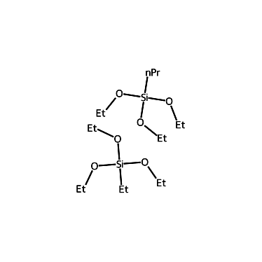 CCC[Si](OCC)(OCC)OCC.CCO[Si](CC)(OCC)OCC